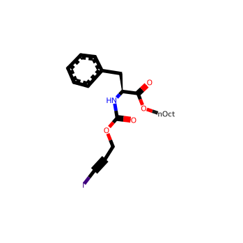 CCCCCCCCOC(=O)[C@H](Cc1ccccc1)NC(=O)OCC#CI